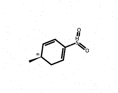 C[C@H]1C=CC([SH](=O)=O)=CC1